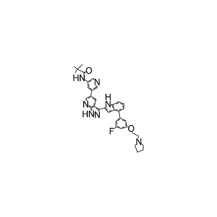 CC(C)(C)C(=O)Nc1cncc(-c2cnc3[nH]nc(-c4cc5c(-c6cc(F)cc(OCCN7CCCC7)c6)cccc5[nH]4)c3c2)c1